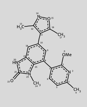 COc1nc(C)ccc1-c1cc(-c2c(C)noc2C)cc2[nH]c(=O)n(C)c12